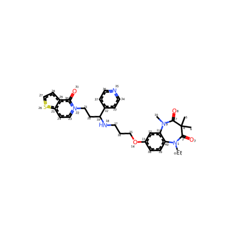 CCN1C(=O)C(C)(C)C(=O)N(C)c2cc(OCCCNC(CCn3ccc4sccc4c3=O)c3ccncc3)ccc21